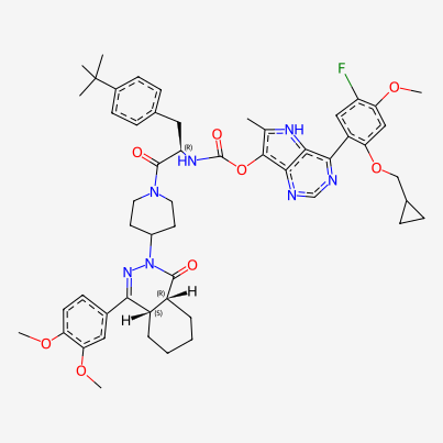 COc1cc(OCC2CC2)c(-c2ncnc3c(OC(=O)N[C@H](Cc4ccc(C(C)(C)C)cc4)C(=O)N4CCC(N5N=C(c6ccc(OC)c(OC)c6)[C@H]6CCCC[C@H]6C5=O)CC4)c(C)[nH]c23)cc1F